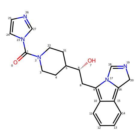 O=C(N1CCC([C@H](O)Cc2c3ccccc3c3n2C=NC3)CC1)n1ccnc1